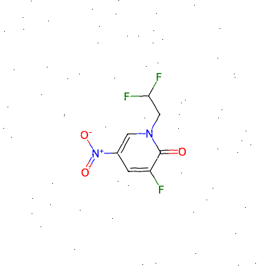 O=c1c(F)cc([N+](=O)[O-])cn1CC(F)F